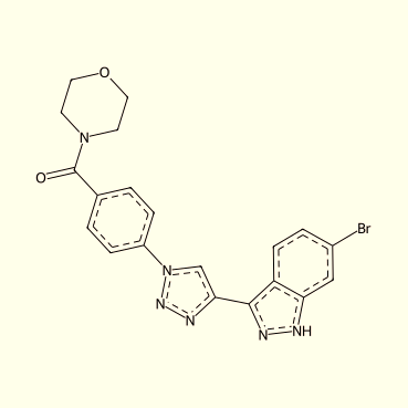 O=C(c1ccc(-n2cc(-c3n[nH]c4cc(Br)ccc34)nn2)cc1)N1CCOCC1